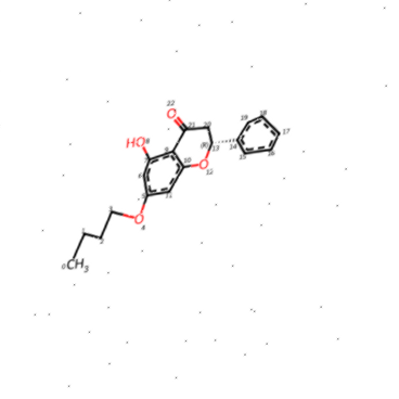 CCCCOc1cc(O)c2c(c1)O[C@@H](c1ccccc1)CC2=O